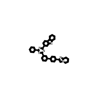 c1ccc(-c2nc(-c3cccc(-c4ccc(-c5cn6ccccc6n5)cc4)c3)nc(-c3ccc4c(c3)sc3ccccc34)n2)cc1